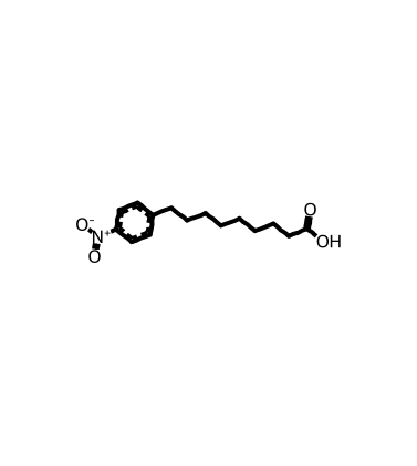 O=C(O)CCCCCCCCc1ccc([N+](=O)[O-])cc1